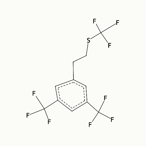 FC(F)(F)SCCc1cc(C(F)(F)F)cc(C(F)(F)F)c1